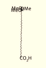 CO[Si](CCCCCCCCCCCCCCCCCCCCCCCCCCCCCCCCCCCCCCC(=O)O)(OC)OC